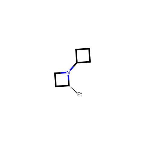 CC[C@@H]1CCN1C1CCC1